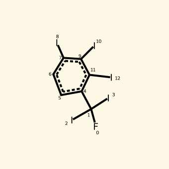 FC(I)(I)c1ccc(I)c(I)c1I